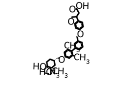 Cc1cc(OC[C@H]2CC[C@@](C)(O)[C@@](C)(O)C2)cc(C)c1-c1cccc(COc2ccc3c(c2)OCC3CC(=O)O)c1